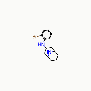 Brc1ccccc1NC1CC2CCCC(C1)N2